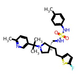 Cc1ccc(NS(=O)(=O)NC[C@]2(CCc3ccc(F)s3)CCN(C(C)(C)c3ccc(C)nc3)C2)cc1